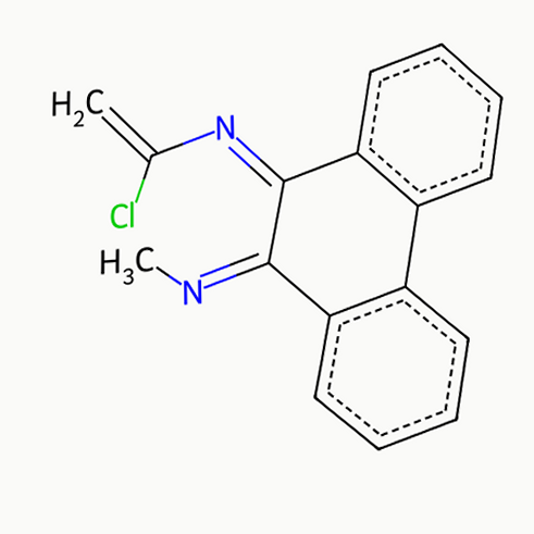 C=C(Cl)/N=C1\C(=N/C)c2ccccc2-c2ccccc21